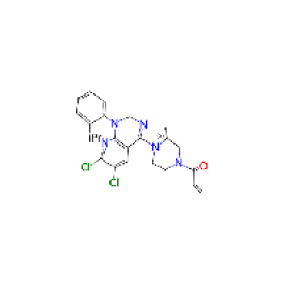 C=CC(=O)N1CCN(C2=NCN(c3ccccc3C(C)C)c3nc(Cl)c(Cl)cc32)[C@@H](C)C1